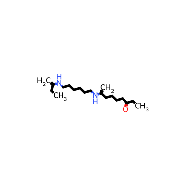 C=C(CC)NCCCCCCNC(=C)CCCCC(=O)CC